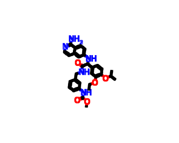 CCOc1cc(C(Nc2ccc3c(N)nccc3c2)C(=O)NCc2cccc(NC(=O)OC)c2)ccc1OC(C)C